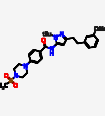 COc1cccc(CCc2cc(NC(=O)c3ccc(N4CCN(S(C)(=O)=O)CC4)cc3)n(C(C)(C)C)n2)c1